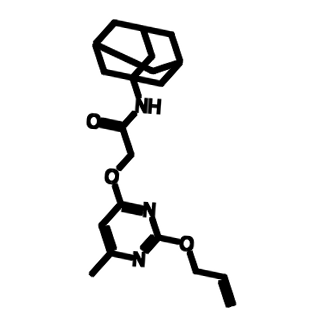 C=CCOc1nc(C)cc(OCC(=O)NC23CC4CC(CC(C4)C2)C3)n1